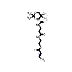 C/C=C/C(=O)SCCNC(=O)CCNC(=O)[C@@H]1OC(C)(C)OCC1(C)C